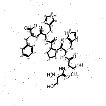 C[C@@H](O)[C@H](NC(=O)[C@@H](N)CO)C(=O)N[C@@H](Cc1c[nH]cn1)C(=O)N1CCC[C@H]1C(=O)N[C@@H](Cc1c[nH]cn1)C(=O)N[C@@H](Cc1ccccc1)C(=O)O